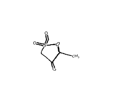 CC1OS(=O)(=O)CC1=O